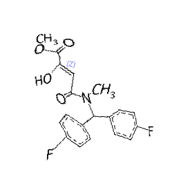 COC(=O)/C(O)=C/C(=O)N(C)C(c1ccc(F)cc1)c1ccc(F)cc1